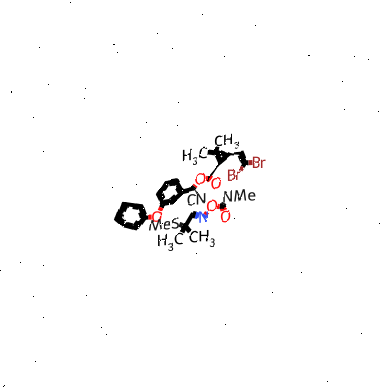 CC1(C)[C@H](C(=O)O[C@H](C#N)c2cccc(Oc3ccccc3)c2)[C@@H]1C=C(Br)Br.CNC(=O)O/N=C/C(C)(C)SC